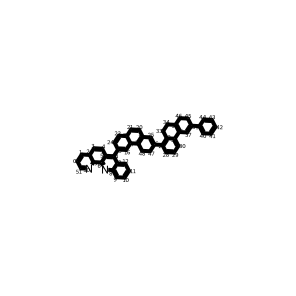 C1=CC2C=Cc3c(nc4ccccc4c3C3=CC4C5=C(C=CC4C=C3)C=C(c3cccc4c3CCC3=C4C=C(c4ccccc4)CC3)CC5)C2N=C1